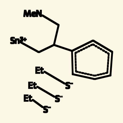 CC[S-].CC[S-].CC[S-].CNCC([CH2][Sn+3])c1ccccc1